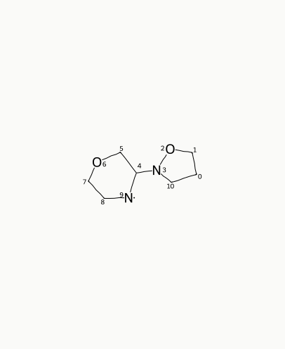 C1CON(C2COCC[N]2)C1